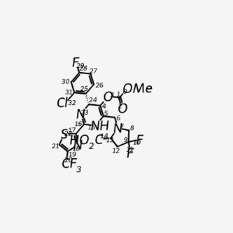 COC(=O)OC1=C(CN2CC(F)(F)C[C@H]2C(=O)O)NC(c2nc(C(F)(F)F)cs2)=N[C@@H]1c1ccc(F)cc1Cl